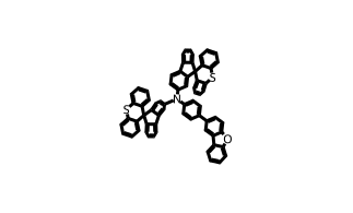 c1ccc2c(c1)Sc1ccccc1C21c2ccccc2-c2cc(N(c3ccc(-c4ccc5oc6ccccc6c5c4)cc3)c3ccc4c(c3)C3(c5ccccc5Sc5ccccc53)c3ccccc3-4)ccc21